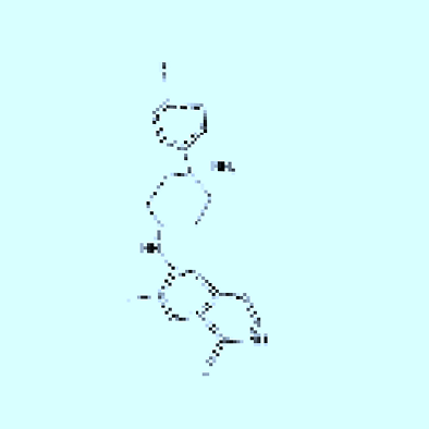 Cc1cc2c(=O)[nH]ccc2cc1N[C@H]1CC[C@](N)(c2ccc(F)cc2)CC1